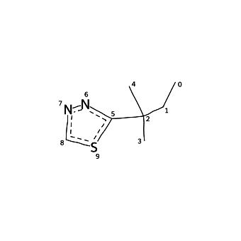 CCC(C)(C)c1nncs1